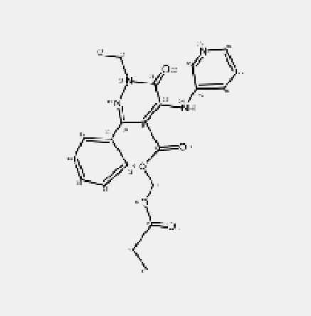 CCC(=O)OCOC(=O)c1c(-c2ccccc2)nn(CC)c(=O)c1Nc1cccnc1